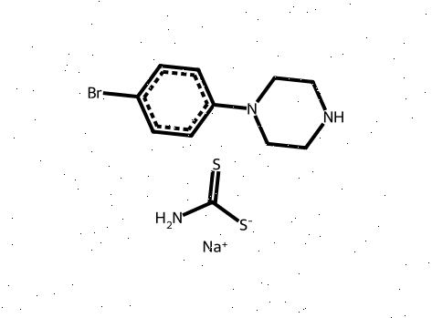 Brc1ccc(N2CCNCC2)cc1.NC(=S)[S-].[Na+]